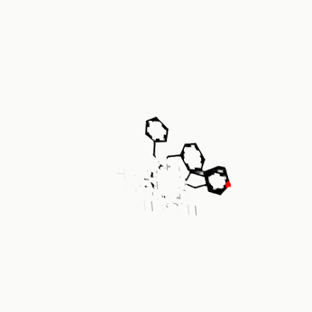 C[Si]1(C)O[Si](C)(C)O[Si](Cc2ccccc2)(Cc2ccccc2)O[Si](Cc2ccccc2)(Cc2ccccc2)O1